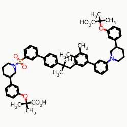 Cc1cc(-c2cccc(N3CCCC(c4cccc(OC(C)(C)C(=O)O)c4)C3)c2)cc(CC(C)(C)c2ccc(-c3cccc(S(=O)(=O)N4CCCC(c5cccc(OC(C)(C)C(=O)O)c5)C4)c3)cc2)c1C